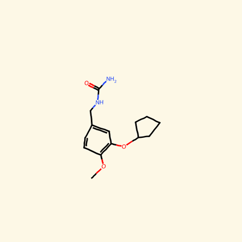 COc1ccc(CNC(N)=O)cc1OC1CCCC1